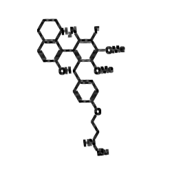 CCC(C)NCCOc1ccc(Cc2c(OC)c(OC)c(F)c(N)c2-c2c(O)ccc3c2CCCC3)cc1